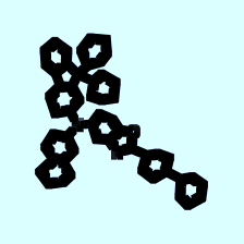 c1ccc(-c2ccc(-c3nc4cc(N(c5ccc6c(c5)C(c5ccccc5)(c5ccccc5)c5ccccc5-6)c5ccc6ccccc6c5)ccc4o3)cc2)cc1